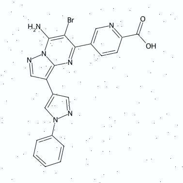 Nc1c(Br)c(-c2ccc(C(=O)O)nc2)nc2c(-c3cnn(-c4ccccc4)c3)cnn12